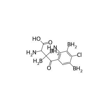 Bc1cc(C(=O)C(B)(B)C(N)C(=O)O)c(N)c(B)c1Cl